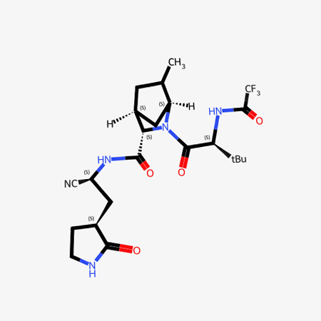 CC1C[C@H]2C[C@@H]1N(C(=O)[C@@H](NC(=O)C(F)(F)F)C(C)(C)C)[C@@H]2C(=O)N[C@H](C#N)C[C@@H]1CCNC1=O